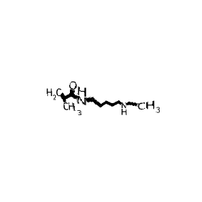 C=C(C)C(=O)NCCCCCNCC